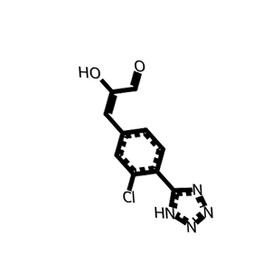 O=C/C(O)=C\c1ccc(-c2nnn[nH]2)c(Cl)c1